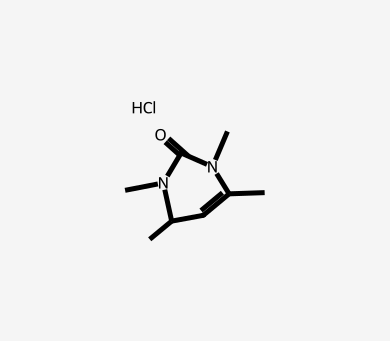 CC1=CC(C)N(C)C(=O)N1C.Cl